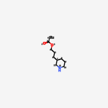 CC(C)(C)C(=O)OCCCC1CCCNC1